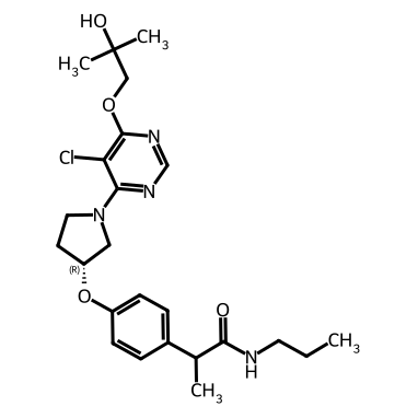 CCCNC(=O)C(C)c1ccc(O[C@@H]2CCN(c3ncnc(OCC(C)(C)O)c3Cl)C2)cc1